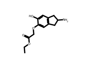 CCOC(=O)COc1cc2c(cc1O)CC(N)C2